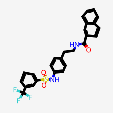 O=C(NCCc1ccc(NS(=O)(=O)c2cccc(C(F)(F)F)c2)cc1)c1ccc2ccccc2c1